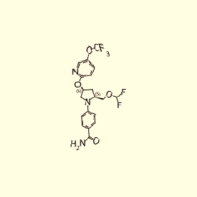 NC(=O)c1ccc(N2C[C@@H](Oc3ccc(OC(F)(F)F)cn3)C[C@H]2COC(F)F)cc1